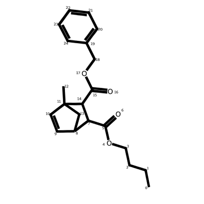 CCCCOC(=O)C1C2C=CC(C)(C2)C1C(=O)OCc1ccccc1